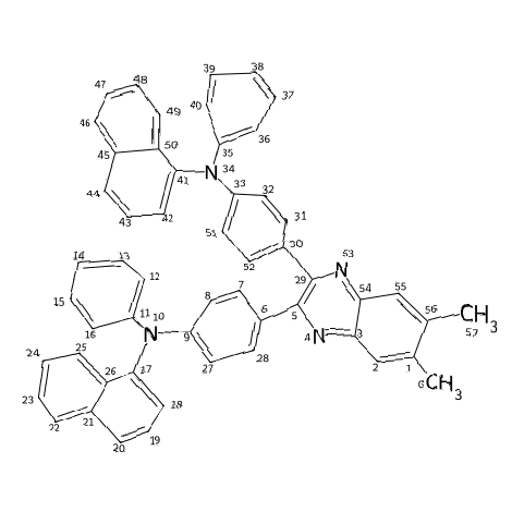 Cc1cc2nc(-c3ccc(N(c4ccccc4)c4cccc5ccccc45)cc3)c(-c3ccc(N(c4ccccc4)c4cccc5ccccc45)cc3)nc2cc1C